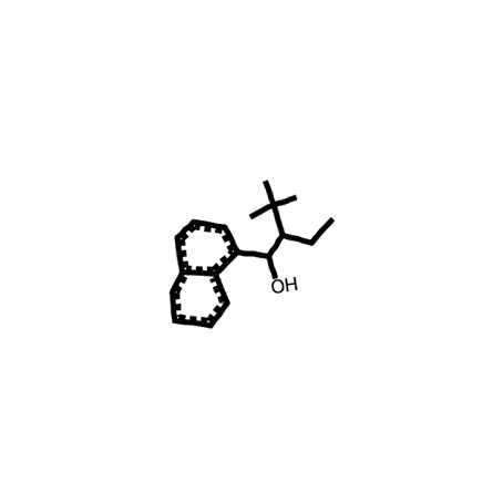 CCC(C(O)c1cccc2ccccc12)C(C)(C)C